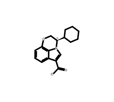 O=C(Cl)c1cn2c3c(cccc13)OC[C@H]2C1CCCCC1